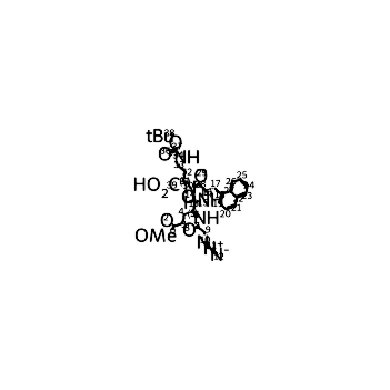 COC(=O)CC[C@H](NC(=O)CN=[N+]=[N-])C(=O)N[C@@H](Cc1cccc2ccccc12)C(=O)N[C@@H](CCNC(=O)OC(C)(C)C)C(=O)O